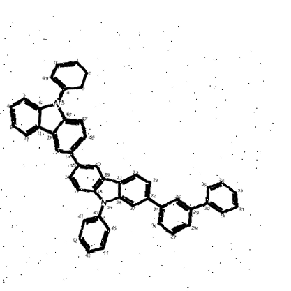 C1=CCCC(n2c3ccccc3c3cc(-c4ccc5c(c4)c4ccc(-c6cccc(-c7ccccc7)c6)cc4n5-c4ccccc4)ccc32)=C1